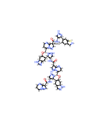 COc1cc2cnsc2cc1-c1n[nH]cc1NC(=O)c1cnn2c(COc3cc4[nH]cnc4cc3-c3n[nH]cc3NC(=O)c3cnn4c(COc5cc6[nH]ncc6cc5-c5n[nH]cc5NC(=O)c5cnn6cccnc56)ccnc34)ccnc12